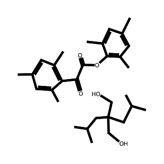 CC(C)CC(CO)(CO)CC(C)C.Cc1cc(C)c(OC(=O)C(=O)c2c(C)cc(C)cc2C)c(C)c1